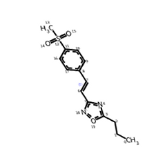 CCCc1nc(/C=C/c2ccc(S(C)(=O)=O)cc2)no1